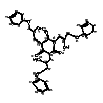 O=c1n(CC(O)COc2ccccc2)c(=O)n(CC(O)COc2ccccc2)c(=O)n1CC(O)COc1ccccc1